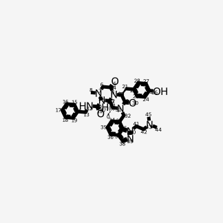 C[C@@H]1[C@H]2N(C(=O)CN(C)N2C(=O)NCc2ccccc2)[C@@H](Cc2ccc(O)cc2)C(=O)N1Cc1cccc2cnn(CCN(C)C)c12